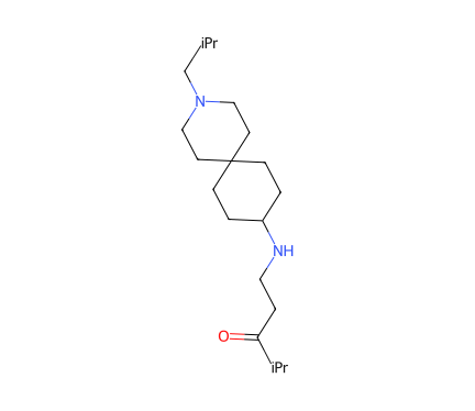 CC(C)CN1CCC2(CCC(NCCC(=O)C(C)C)CC2)CC1